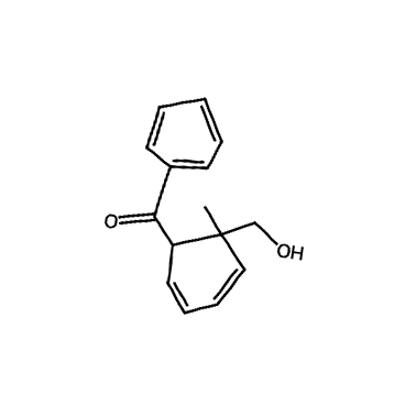 CC1(CO)C=CC=CC1C(=O)c1ccccc1